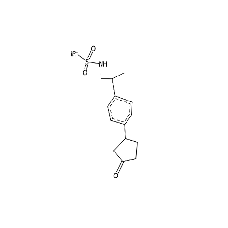 CC(CNS(=O)(=O)C(C)C)c1ccc(C2CCC(=O)C2)cc1